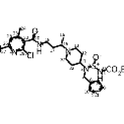 CCOC(=O)N[S+]([O-])N(Cc1ccsc1)C1CCN([C@H](C)CCNC(=O)c2c(C)cc(Cl)nc2Cl)CC1